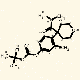 Cc1cc(NC(=O)OC(C)(C)C)ccc1C1(C(=O)N(C)C)CCOCC1